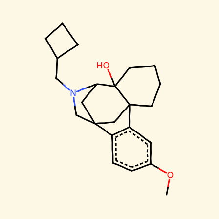 COc1ccc2c(c1)C13CCCCC1(O)C1CC2(CN1CC1CCC1)C3